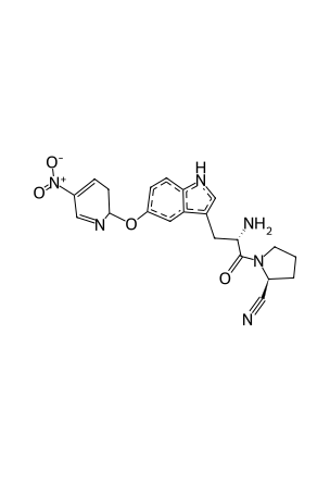 N#C[C@@H]1CCCN1C(=O)[C@@H](N)Cc1c[nH]c2ccc(OC3CC=C([N+](=O)[O-])C=N3)cc12